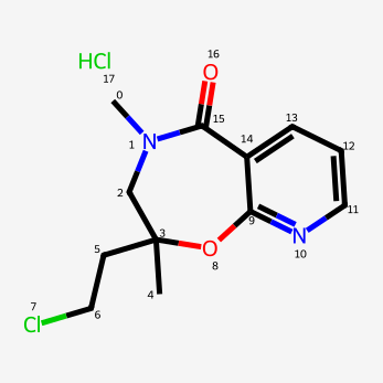 CN1CC(C)(CCCl)Oc2ncccc2C1=O.Cl